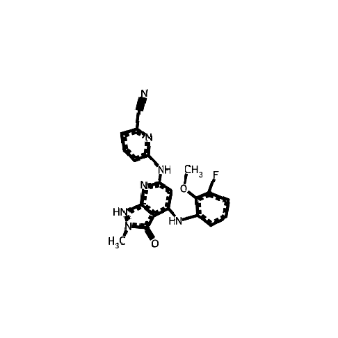 COc1c(F)cccc1Nc1cc(Nc2cccc(C#N)n2)nc2[nH]n(C)c(=O)c12